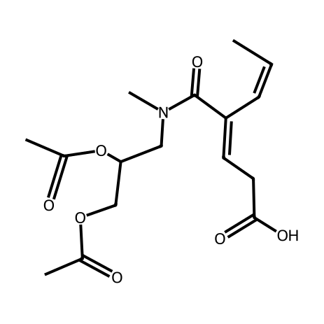 C/C=C\C(=C/CC(=O)O)C(=O)N(C)CC(COC(C)=O)OC(C)=O